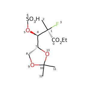 CCOC(=O)[C@](C)(F)[C@H](OS(=O)(=O)O)[C@H]1COC(C)(C)O1